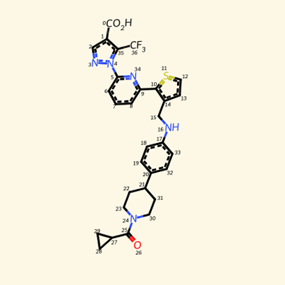 O=C(O)c1cnn(-c2cccc(-c3sccc3CNc3ccc(C4CCN(C(=O)C5CC5)CC4)cc3)n2)c1C(F)(F)F